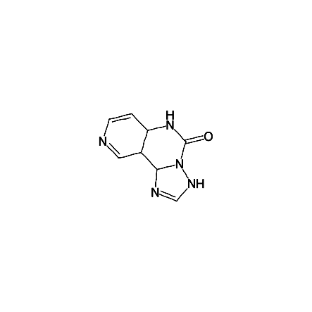 O=C1NC2C=CN=CC2C2N=CNN12